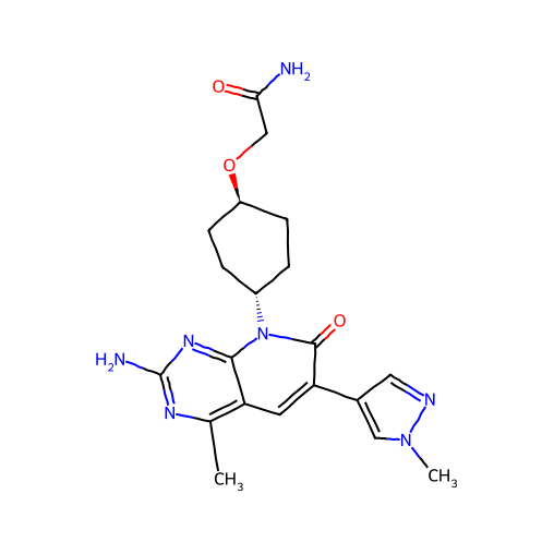 Cc1nc(N)nc2c1cc(-c1cnn(C)c1)c(=O)n2[C@H]1CC[C@H](OCC(N)=O)CC1